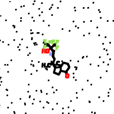 CC(C/C=C/C(O)(C(F)(F)F)C(F)(F)F)C1CCC2C(=O)CCCC21C